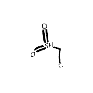 O=[SH](=O)CCl